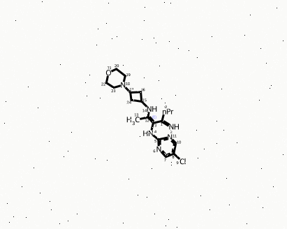 CCCC(=N)/C(Nc1ncc(Cl)cn1)=C(/C)NC1CC(N2CCOCC2)C1